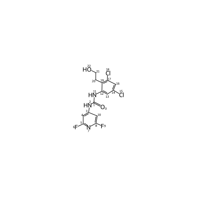 O=C(Nc1cc(F)nc(F)c1)Nc1cc(Cl)cc(Cl)c1CCO